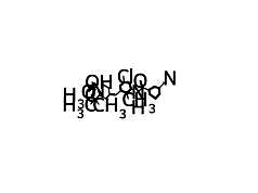 Cc1c(C=C2CCN(C(=O)O)C(C(C)(C)C)C2)cc(Cl)cc1NC(=O)c1cccc(C#N)c1